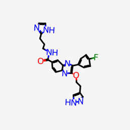 O=C(NCCCc1ncc[nH]1)c1ccc2nc(OCCc3cn[nH]c3)c(-c3ccc(F)cc3)nc2c1